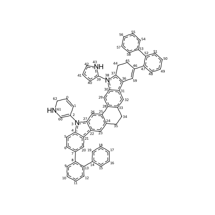 C1=CC(n2c3ccc(-c4ccccc4-c4ccccc4)cc3c3cc4c(cc32)-c2cc3c(cc2CC4)c2c(n3-c3ccc[nH]3)CCC(c3ccccc3-c3ccccc3)=C2)=CNC1